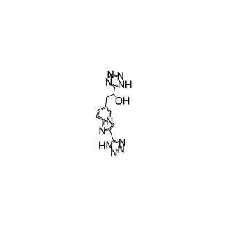 OC(Cc1ccc2nc(-c3nnn[nH]3)cn2c1)c1nnn[nH]1